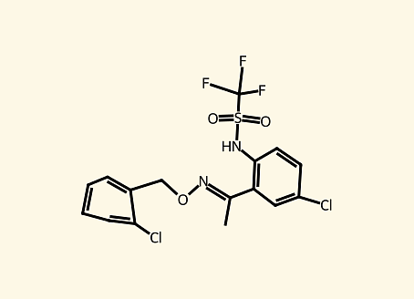 C/C(=N\OCc1ccccc1Cl)c1cc(Cl)ccc1NS(=O)(=O)C(F)(F)F